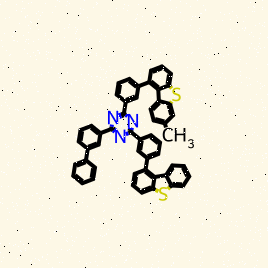 Cc1ccc2c(c1)sc1cccc(-c3cccc(-c4nc(-c5cccc(-c6ccccc6)c5)nc(-c5cccc(-c6cccc7sc8ccccc8c67)c5)n4)c3)c12